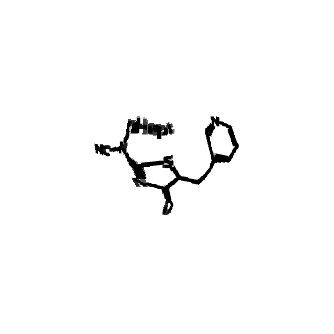 CCCCCCCN(C#N)C1=NC(=O)C(Cc2cccnc2)S1